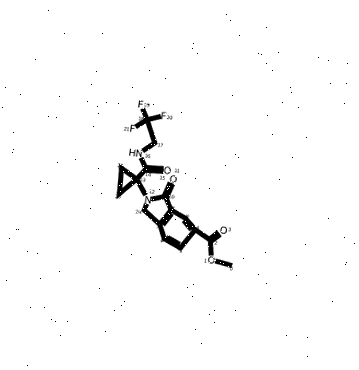 COC(=O)c1ccc2c(c1)C(=O)N(C1(C(=O)NCC(F)(F)F)CC1)C2